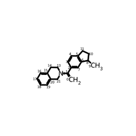 C=C(c1ccc2c(c1)C(C)CC2)N1CCc2ccccc2C1